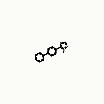 c1ccc(-c2ccc(-c3ncn[nH]3)cc2)cc1